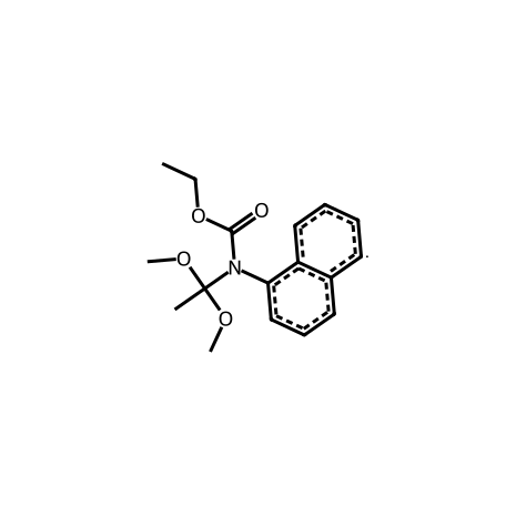 CCOC(=O)N(c1cccc2[c]cccc12)C(C)(OC)OC